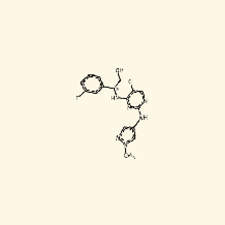 Cn1cc(Nc2ncc(Cl)c(N[C@H](CO)c3cccc(F)c3)n2)cn1